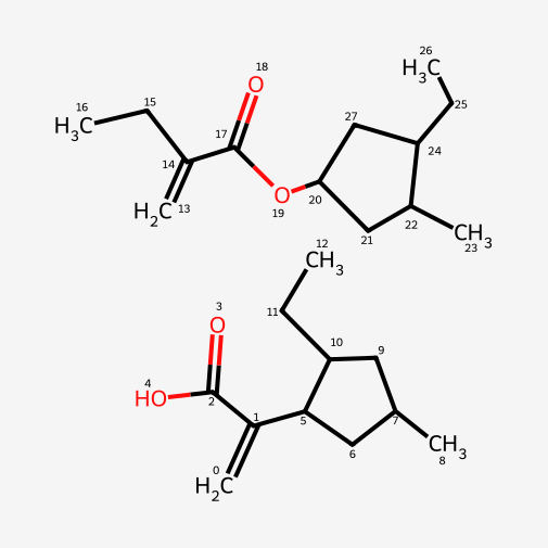 C=C(C(=O)O)C1CC(C)CC1CC.C=C(CC)C(=O)OC1CC(C)C(CC)C1